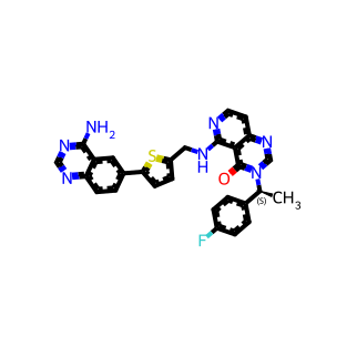 C[C@@H](c1ccc(F)cc1)n1cnc2ccnc(NCc3ccc(-c4ccc5ncnc(N)c5c4)s3)c2c1=O